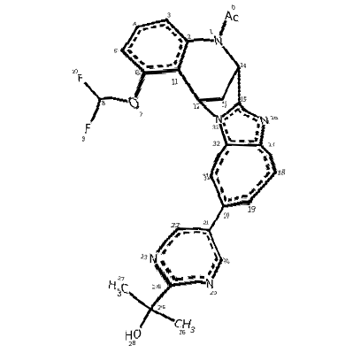 CC(=O)N1c2cccc(OC(F)F)c2C2CC1c1nc3ccc(-c4cnc(C(C)(C)O)nc4)cc3n12